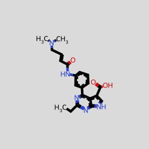 CCc1nc(-c2cccc(NC(=O)/C=C/CN(C)C)c2)c2c(C(=O)O)c[nH]c2n1